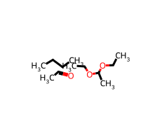 CC=O.CCCC.CCOC(C)OCC